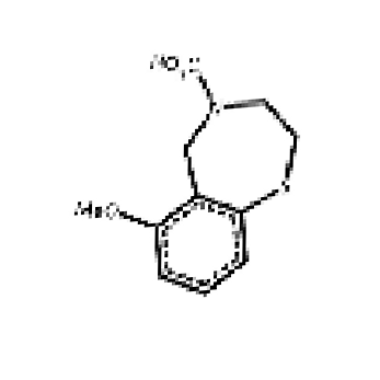 COc1cccc2c1CN(C(=O)O)CCS2